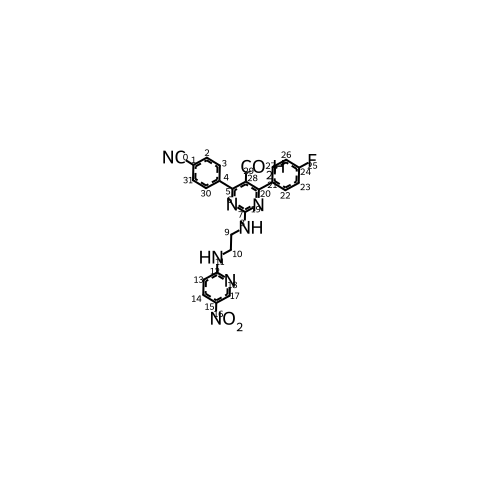 N#Cc1ccc(-c2nc(NCCNc3ccc([N+](=O)[O-])cn3)nc(-c3ccc(F)cc3)c2C(=O)O)cc1